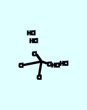 Cl.Cl.Cl.Cl.ClC(Cl)(Cl)Cl